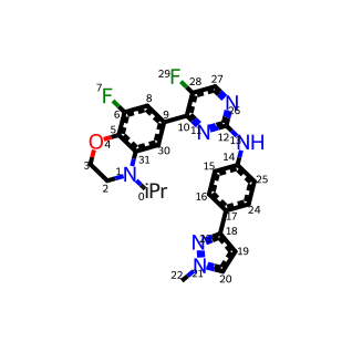 CC(C)N1CCOc2c(F)cc(-c3nc(Nc4ccc(-c5ccn(C)n5)cc4)ncc3F)cc21